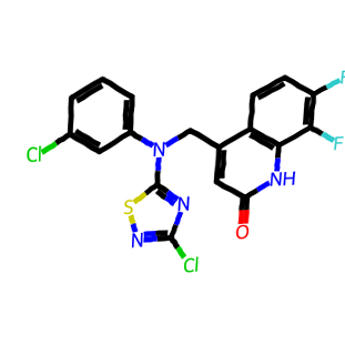 O=c1cc(CN(c2cccc(Cl)c2)c2nc(Cl)ns2)c2ccc(F)c(F)c2[nH]1